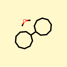 C1CCCCC(C2CCCCCCCC2)CCC1.COC